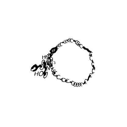 Cn1c(N2CCCCCCCCCCCCCCCCCCCCCCCCCCCCCCCCCCCCCCCCCCCCCCCCC3(CC2)C(=O)NCN3c2ccccc2)nc(C(=O)O)c(OCc2ccccc2)c1=O